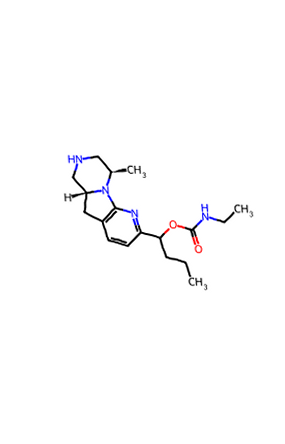 CCCC(OC(=O)NCC)c1ccc2c(n1)N1[C@@H](CNC[C@H]1C)C2